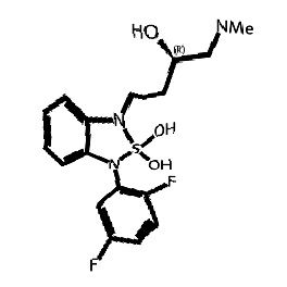 CNC[C@H](O)CCN1c2ccccc2N(c2cc(F)ccc2F)S1(O)O